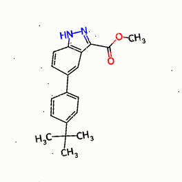 COC(=O)c1n[nH]c2ccc(-c3ccc(C(C)(C)C)cc3)cc12